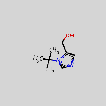 CC(C)(C)n1cncc1CO